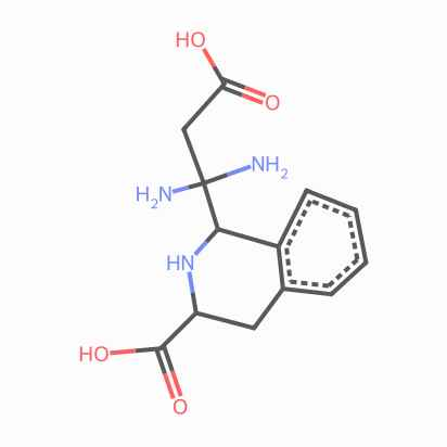 NC(N)(CC(=O)O)C1NC(C(=O)O)Cc2ccccc21